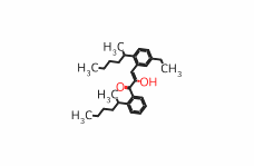 CCCCC(C)c1ccc(CC)cc1C=C(O)C(=O)c1ccccc1C(C)CCCC